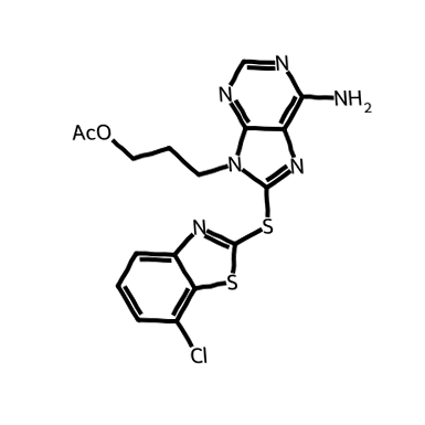 CC(=O)OCCCn1c(Sc2nc3cccc(Cl)c3s2)nc2c(N)ncnc21